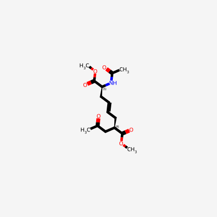 COC(=O)[C@H](CC=CC[C@H](NC(C)=O)C(=O)OC)CC(C)=O